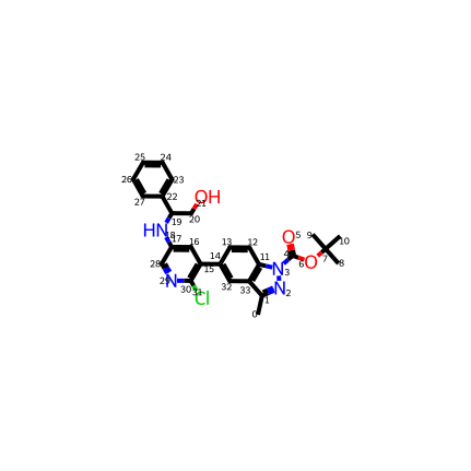 Cc1nn(C(=O)OC(C)(C)C)c2ccc(-c3cc(NC(CO)c4ccccc4)cnc3Cl)cc12